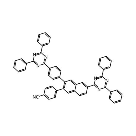 N#Cc1ccc(-c2cc3ccc(-c4nc(-c5ccccc5)nc(-c5ccccc5)n4)cc3cc2-c2ccc(-c3nc(-c4ccccc4)nc(-c4ccccc4)n3)cc2)cc1